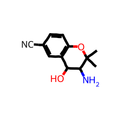 CC1(C)Oc2ccc(C#N)cc2C(O)C1N